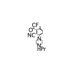 CCCN1CCN(c2cccc(C(=O)C(F)(F)F)c2C#N)CC1